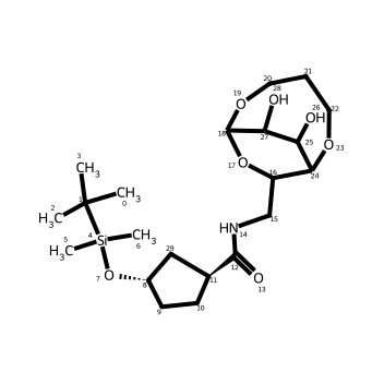 CC(C)(C)[Si](C)(C)O[C@H]1CC[C@H](C(=O)NCC2OC3OCCCOC2C(O)C3O)C1